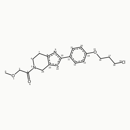 COCC(=O)N1CCc2nc(-c3ccc(OCCCCl)cc3)sc2C1